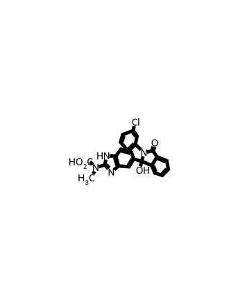 CN(C(=O)O)c1nc2cc(C3(O)c4ccccc4C(=O)N3c3cccc(Cl)c3)ccc2[nH]1